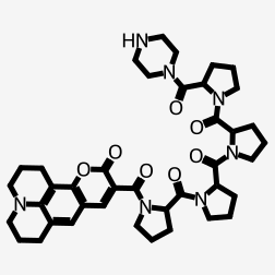 O=C(C1CCCN1C(=O)C1CCCN1C(=O)C1CCCN1C(=O)C1CCCN1C(=O)c1cc2cc3c4c(c2oc1=O)CCCN4CCC3)N1CCNCC1